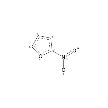 O=[N+]([O-])c1ccco1